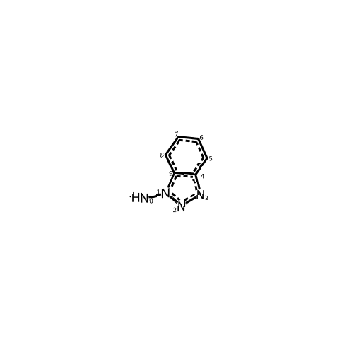 [NH]n1nnc2ccccc21